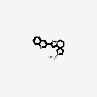 O=C(O)N1CCC2(CCCn3nc(-c4cnc5ccccc5c4)cc32)C1